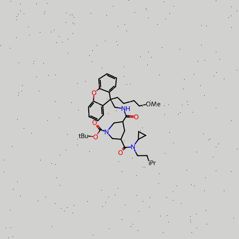 COCCCCC1(CNC(=O)C2CC(C(=O)N(CCC(C)C)C3CC3)CN(C(=O)OC(C)(C)C)C2)c2ccccc2Oc2ccccc21